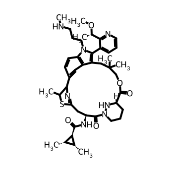 CNCCCn1c(-c2cccnc2[C@H](C)OC)c2c3cc(ccc31)C1N=C(C[C@H](NC(=O)[C@H]3[C@H](C)[C@@H]3C)C(=O)N3CCC[C@H](N3)C(=O)OCC(C)(C)C2)SC1C